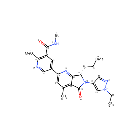 CCNC(=O)c1cc(-c2cc(C)c3c(n2)[C@H](CCOC)N(c2cnn(CC(F)(F)F)c2)C3=O)cnc1OC